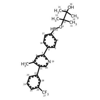 Cc1cc(-c2ccc(BOC(C)(C)C(C)(C)O)cc2)ncc1-c1cccc(C(F)(F)F)c1